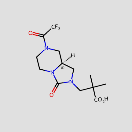 CC(C)(CN1C[C@@H]2CN(C(=O)C(F)(F)F)CCN2C1=O)C(=O)O